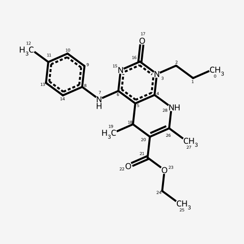 CCCn1c2c(c(Nc3ccc(C)cc3)nc1=O)C(C)C(C(=O)OCC)=C(C)N2